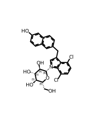 OC[C@H]1O[C@@H](n2cc(Cc3ccc4cc(O)ccc4c3)c3c(Cl)ccc(Cl)c32)[C@H](O)[C@@H](O)[C@@H]1O